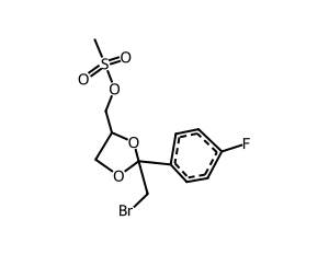 CS(=O)(=O)OCC1COC(CBr)(c2ccc(F)cc2)O1